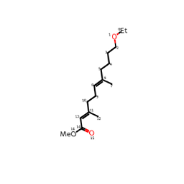 CCOCCCC/C(C)=C/CC/C(C)=C/C(=O)OC